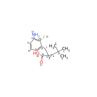 CC(C)(C)C1CC1(Cc1cccc(N)c1F)C(=O)O